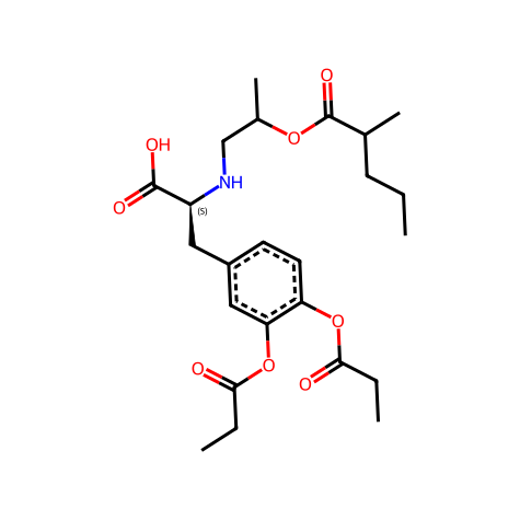 CCCC(C)C(=O)OC(C)CN[C@@H](Cc1ccc(OC(=O)CC)c(OC(=O)CC)c1)C(=O)O